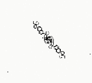 C=CC(=O)Oc1ccc2cc(C(=O)OC3CO[C@@H]4[C@@H](OC(=O)c5ccc6cc(OC(=O)C=C)ccc6c5)CO[C@H]34)ccc2c1